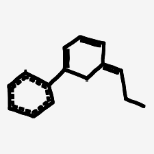 CCC=C1[CH]C(c2[c]cccc2)=CC=C1